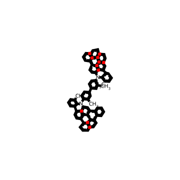 Cc1cc(-c2ccc(N(c3ccc4c5ccccc5c5ccccc5c4c3)c3c(C)cccc3-c3ccc(-c4ccccc4)cc3)c(C)c2)ccc1N(c1ccc2c3ccccc3c3ccccc3c2c1)c1c(C)cccc1-c1ccc(-c2ccccc2)cc1